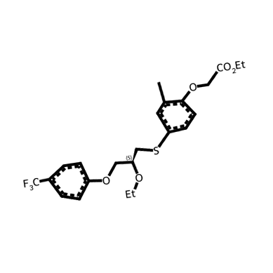 CCOC(=O)COc1ccc(SC[C@H](COc2ccc(C(F)(F)F)cc2)OCC)cc1C